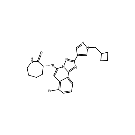 O=C1NCCCC[C@H]1Nc1nc2c(Br)cccc2c2nc(-c3cnn(CC4CCC4)c3)nn12